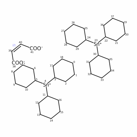 C1CC[CH]([Sn+]([CH]2CCCCC2)[CH]2CCCCC2)CC1.C1CC[CH]([Sn+]([CH]2CCCCC2)[CH]2CCCCC2)CC1.O=C([O-])/C=C\C(=O)[O-]